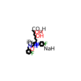 CC(C)c1c(C(=O)N(C)Cc2cccc(F)c2)nn(-c2ccc(F)cc2)c1CCC(O)CC(O)CC(=O)O.[NaH]